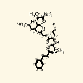 C[C@H](NC(=O)C(CCC(=O)O)NC(=O)CNC(=O)[C@H](CCSF)NC(=O)[C@H](C)NC(=O)CCc1ccccc1)C(N)=O